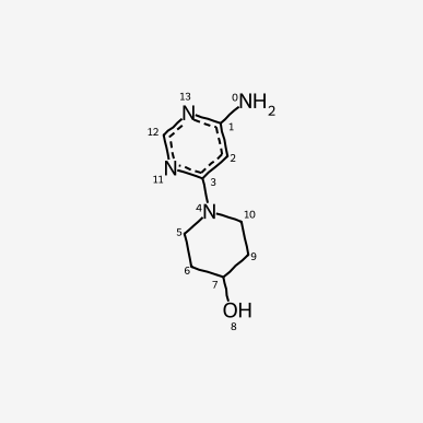 Nc1cc(N2CCC(O)CC2)ncn1